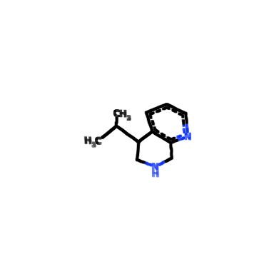 CC(C)C1CNCc2ncccc21